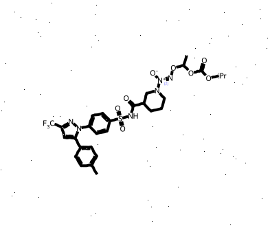 Cc1ccc(-c2cc(C(F)(F)F)nn2-c2ccc(S(=O)(=O)NC(=O)C3CCCN(/[N+]([O-])=N/OC(C)OC(=O)OC(C)C)C3)cc2)cc1